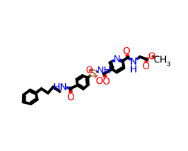 COC(=O)CNC(=O)c1ccc(C(=O)NS(=O)(=O)c2ccc(C(=O)NCCCCc3ccccc3)cc2)cn1